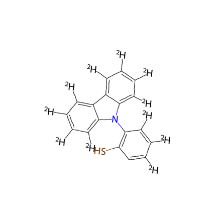 [2H]c1cc(S)c(-n2c3c([2H])c([2H])c([2H])c([2H])c3c3c([2H])c([2H])c([2H])c([2H])c32)c([2H])c1[2H]